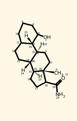 C[C@]12CC[C@@H]3[C@H]4C(O)CCCC4CC[C@H]3[C@@H]1CCC2C(N)=O